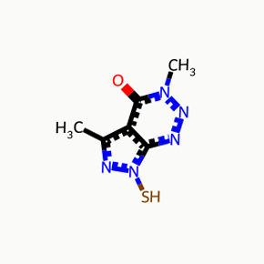 Cc1nn(S)c2nnn(C)c(=O)c12